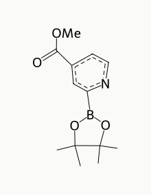 COC(=O)c1ccnc(B2OC(C)(C)C(C)(C)O2)c1